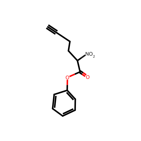 C#CCCC(C(=O)Oc1ccccc1)[N+](=O)[O-]